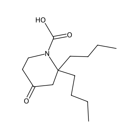 CCCCC1(CCCC)CC(=O)CCN1C(=O)O